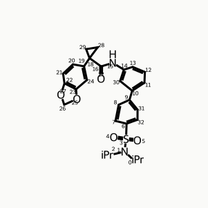 CC(C)N(C(C)C)S(=O)(=O)c1ccc(-c2cccc(NC(=O)C3(c4ccc5c(c4)OCO5)CC3)c2)cc1